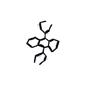 C/C=C\C(=C/C)c1c2ccccc2c(C(/C=C\C)=C/C)c2ccccc12